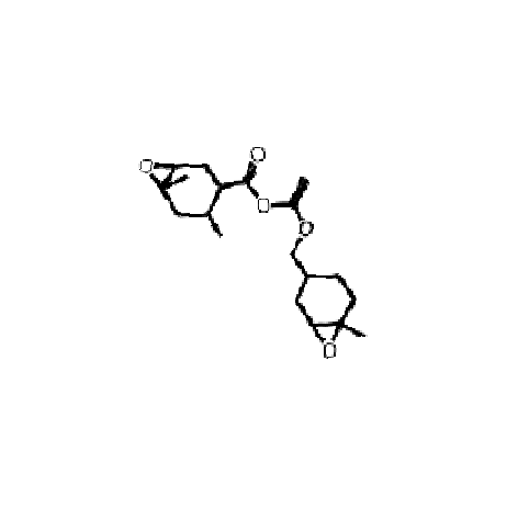 C=C(OCC1CCC2(C)OC2C1)OC(=O)C1CC2OC2(C)CC1C